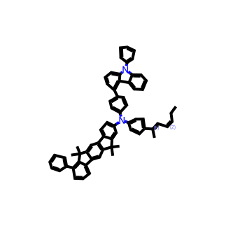 CC/C=C\C=C(/C)c1ccc(N(c2ccc(-c3cccc4c3c3ccccc3n4-c3ccccc3)cc2)c2ccc3c(c2)C(C)(C)c2cc4c(cc2-3)C(C)(C)c2c(-c3ccccc3)cccc2-4)cc1